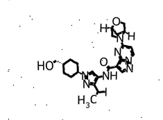 CC(I)c1nn([C@H]2CC[C@H](CO)CC2)cc1NC(=O)c1cnn2ccc(N3C[C@H]4C[C@@H]3CO4)nc12